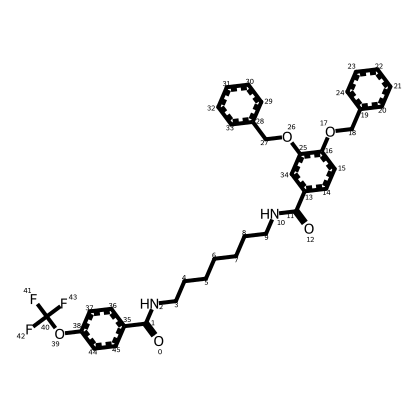 O=C(NCCCCCCCNC(=O)c1ccc(OCc2ccccc2)c(OCc2ccccc2)c1)c1ccc(OC(F)(F)F)cc1